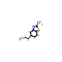 FC(F)(F)c1nc2cc(CCBr)ccc2s1